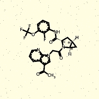 CC(=O)c1cn(CC(=O)N2[C@@H]3C[C@@H]3C[C@H]2C(=O)Nc2cccc(OC(F)(F)F)c2F)c2ncccc12